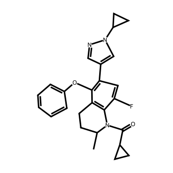 CC1CCc2c(Oc3ccccc3)c(-c3cnn(C4CC4)c3)cc(F)c2N1C(=O)C1CC1